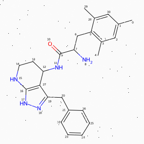 Cc1cc(C)c(CC(N)C(=O)NC2CCNc3[nH]nc(Cc4ccccc4)c32)c(C)c1